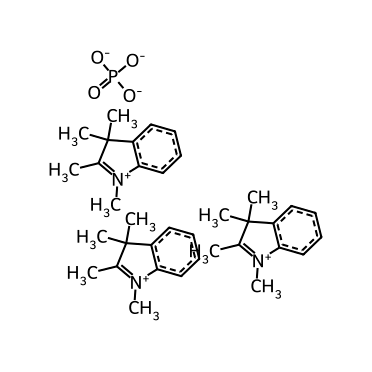 CC1=[N+](C)c2ccccc2C1(C)C.CC1=[N+](C)c2ccccc2C1(C)C.CC1=[N+](C)c2ccccc2C1(C)C.O=P([O-])([O-])[O-]